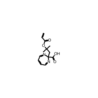 C=CC(=O)OC(C)(C)CC1(C(=O)O)N=CC=CC=N1